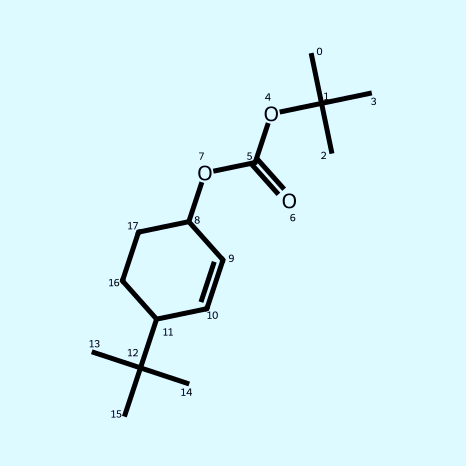 CC(C)(C)OC(=O)OC1C=CC(C(C)(C)C)CC1